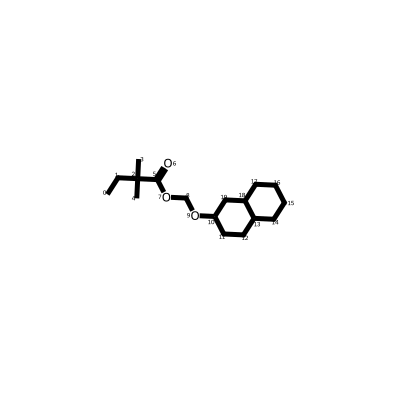 CCC(C)(C)C(=O)OCOC1CCC2CCCCC2C1